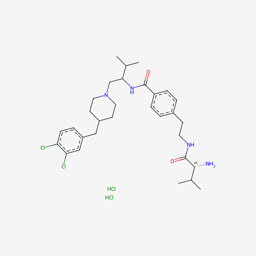 CC(C)C(CN1CCC(Cc2ccc(Cl)c(Cl)c2)CC1)NC(=O)c1ccc(CCNC(=O)[C@H](N)C(C)C)cc1.Cl.Cl